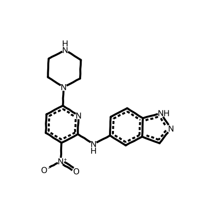 O=[N+]([O-])c1ccc(N2CCNCC2)nc1Nc1ccc2[nH]ncc2c1